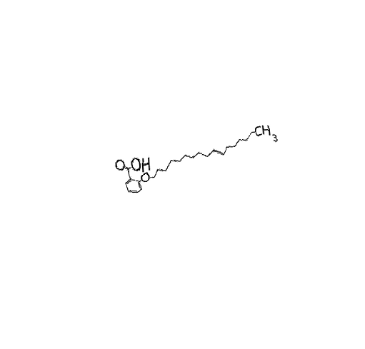 CCCCCCC=CCCCCCCCCCOc1ccccc1C(=O)O